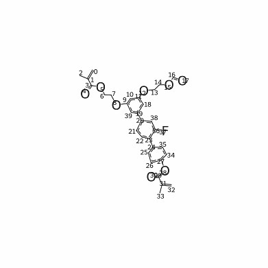 C=C(C)C(=O)OCCOc1cc(OCCOC=O)cc(-c2ccc(-c3ccc(OC(=O)C(=C)C)cc3)c(F)c2)c1